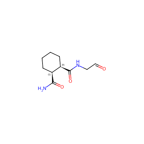 NC(=O)[C@H]1CCCC[C@H]1C(=O)NCC=O